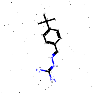 CC(C)(C)c1ccc(/C=N/N=C(N)N)cc1